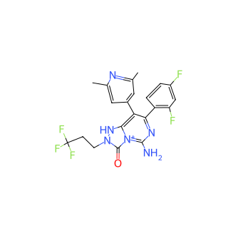 Cc1cc(-c2c(-c3ccc(F)cc3F)nc(N)[n+]3c(=O)n(CCC(F)(F)F)[nH]c23)cc(C)n1